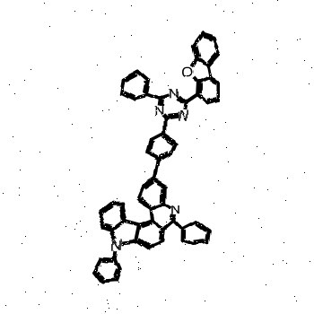 c1ccc(-c2nc(-c3ccc(-c4ccc5c(c4)nc(-c4ccccc4)c4ccc6c(c7ccccc7n6-c6ccccc6)c45)cc3)nc(-c3cccc4c3oc3ccccc34)n2)cc1